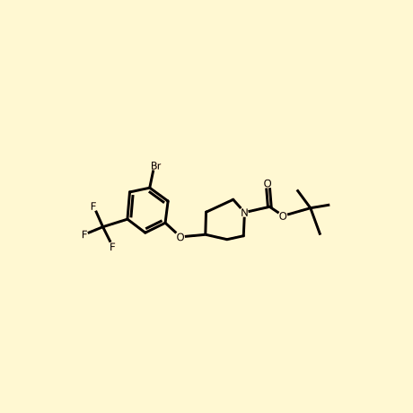 CC(C)(C)OC(=O)N1CCC(Oc2cc(Br)cc(C(F)(F)F)c2)CC1